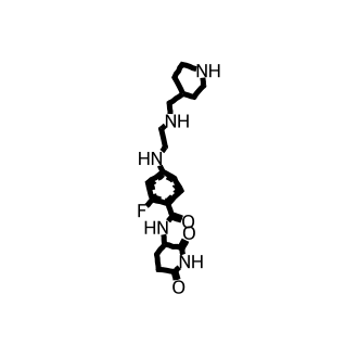 O=C1CCC(NC(=O)c2ccc(NCCNCC3CCNCC3)cc2F)C(=O)N1